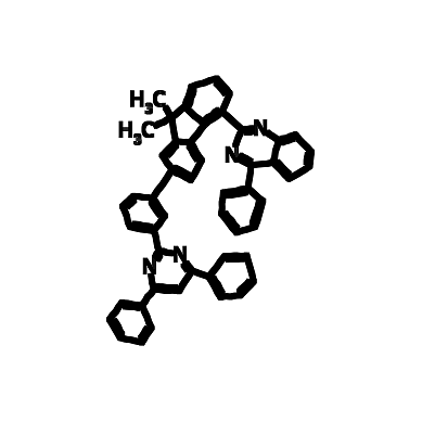 CC1(C)c2cc(-c3cccc(-c4nc(-c5ccccc5)cc(-c5ccccc5)n4)c3)ccc2-c2c(-c3nc(-c4ccccc4)c4ccccc4n3)cccc21